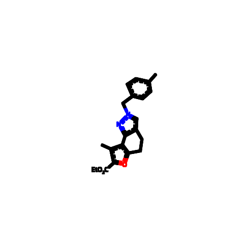 CCOC(=O)c1oc2c(c1C)-c1nn(Cc3ccc(C)cc3)cc1CC2